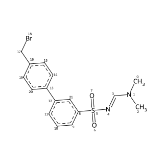 CN(C)C=NS(=O)(=O)c1cccc(-c2ccc(CBr)cc2)c1